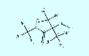 [2H]OC(C(=O)OC([2H])([2H])[2H])(C([2H])([2H])[2H])C([2H])([2H])[2H]